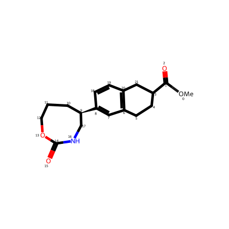 COC(=O)C1CCc2cc([C@@H]3CCCOC(=O)NC3)ccc2C1